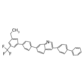 CCc1cc(-c2ccc(-c3ccc4cc(-c5ccc(-c6ccccc6)cc5)cnc4c3)cc2)cc(C(F)(F)F)c1